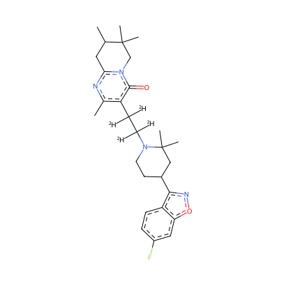 [2H]C([2H])(c1c(C)nc2n(c1=O)CC(C)(C)C(C)C2)C([2H])([2H])N1CCC(c2noc3cc(F)ccc23)CC1(C)C